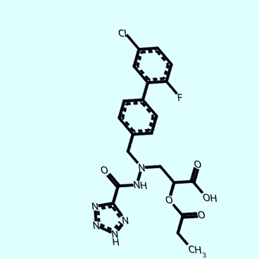 CCC(=O)OC(CN(Cc1ccc(-c2cc(Cl)ccc2F)cc1)NC(=O)c1nn[nH]n1)C(=O)O